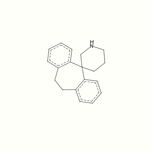 c1ccc2c(c1)CCc1ccccc1C21CCCNC1